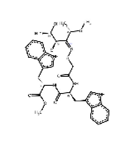 COC(=O)[C@H](Cc1c[nH]c2ccccc12)NC(=O)[C@H](Cc1c[nH]c2ccccc12)NC(=O)CO/N=C(/[C@H](C)OC)[C@@H](O)[C@@H](C)O